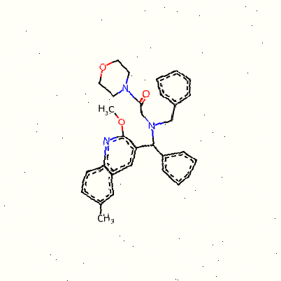 COc1nc2ccc(C)cc2cc1C(c1ccccc1)N(CC(=O)N1CCOCC1)Cc1ccccc1